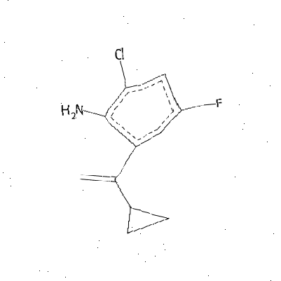 C=C(c1cc(F)cc(Cl)c1N)C1CC1